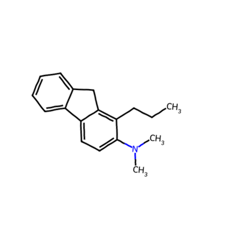 CCCc1c(N(C)C)ccc2c1Cc1ccccc1-2